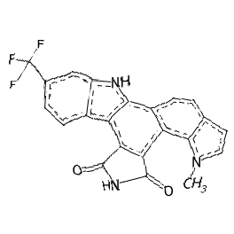 Cn1ccc2ccc3c4[nH]c5cc(C(F)(F)F)ccc5c4c4c(c3c21)C(=O)NC4=O